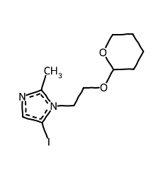 Cc1ncc(I)n1CCOC1CCCCO1